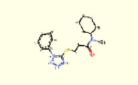 CCN(C(=O)CCSc1nnnn1-c1ccccc1)C1CCCCC1